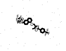 Cc1oc(-c2ccc(C(F)(F)F)cc2)nc1COc1cccc2cc(NS(=O)(=O)C(F)(F)F)ccc12